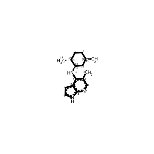 Cc1cnc2[nH]ccc2c1N[C@@H]1C[C@H](O)CC[C@H]1C